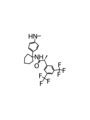 CNc1ccc(C2(NC(=O)[C@@H](C)c3cc(C(F)(F)F)cc(C(F)(F)F)c3)CCCCC2)cc1